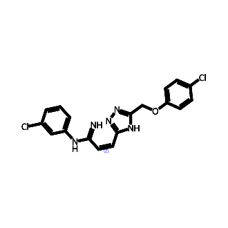 N=C(/C=C\c1nnc(COc2ccc(Cl)cc2)[nH]1)Nc1cccc(Cl)c1